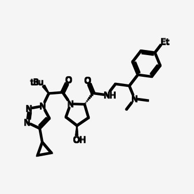 CCc1ccc(C(CNC(=O)[C@@H]2C[C@@H](O)CN2C(=O)[C@@H](n2cc(C3CC3)nn2)C(C)(C)C)N(C)C)cc1